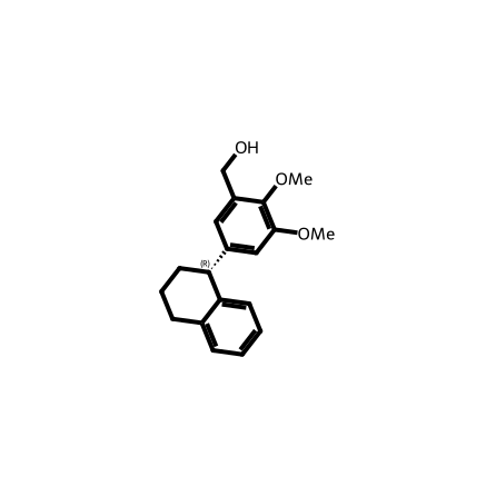 COc1cc([C@H]2CCCc3ccccc32)cc(CO)c1OC